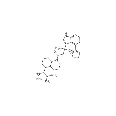 CN(N)C(NN)C1CCCC2C1CCCN2C(=O)CC(C)(C)c1c[nH]c2cccc(-c3ccco3)c12